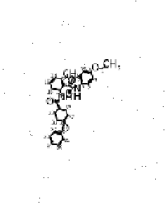 CCOc1ccc(NS(=O)(=O)c2c(C)cccc2NC(=O)c2ccc(Oc3ccccc3)cc2)cc1